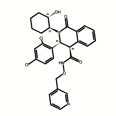 O=C(NOCc1cccnc1)[C@@H]1c2ccccc2C(=O)N([C@H]2CCCC[C@@H]2O)[C@H]1c1ccc(Cl)cc1Cl